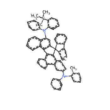 Cc1ccccc1N(c1ccccc1)c1ccc2c3c(c4ccccc4c2c1)-c1c(cc(N(c2ccccc2)c2ccccc2[Si](C)(C)C)c2ccccc12)C31c2ccccc2-c2ccccc21